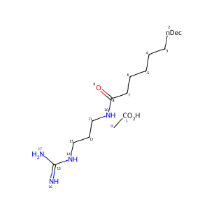 CC(=O)O.CCCCCCCCCCCCCCCC(=O)NCCCNC(=N)N